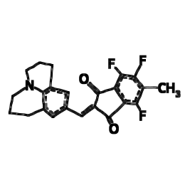 Cc1c(F)c(F)c2c(c1F)C(=O)/C(=C/c1cc3c4c(c1)CCCN4CCC3)C2=O